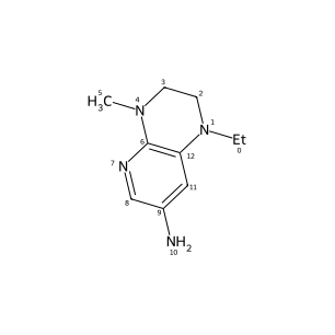 CCN1CCN(C)c2ncc(N)cc21